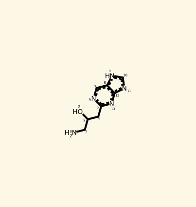 NCC(O)Cc1ncc2[nH]cnc2n1